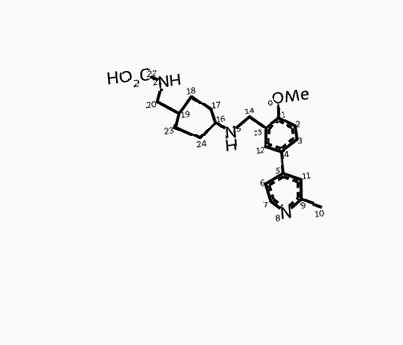 COc1ccc(-c2ccnc(C)c2)cc1CNC1CCC(CNC(=O)O)CC1